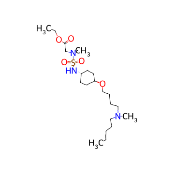 CCCCCN(C)CCCCO[C@H]1CC[C@H](NS(=O)(=O)N(C)CC(=O)OCC)CC1